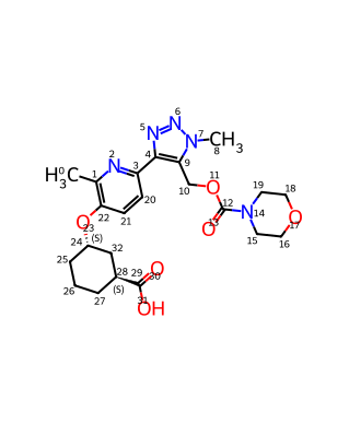 Cc1nc(-c2nnn(C)c2COC(=O)N2CCOCC2)ccc1O[C@H]1CCC[C@H](C(=O)O)C1